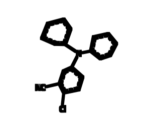 N#Cc1cc(N(c2ccccc2)c2ccccc2)ccc1Cl